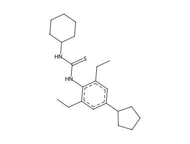 CCc1cc(C2CCCC2)cc(CC)c1NC(=S)NC1CCCCC1